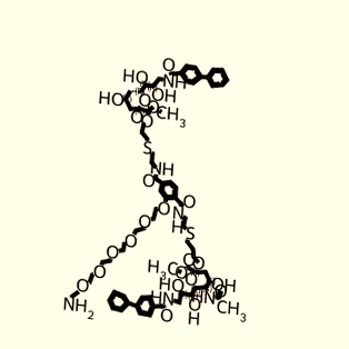 COC(=O)[C@@]1(OCCCSCCNC(=O)c2ccc(C(=O)NCCSCCCO[C@]3(C(=O)OC)C[C@H](O)C[C@H]([C@H](O)[C@H](O)CNC(=O)c4ccc(-c5ccccc5)cc4)O3)cc2OCCOCCOCCOCCOCCOCCN)C[C@H](O)[C@@H](NC(C)=O)[C@H]([C@H](O)[C@H](O)CNC(=O)c2ccc(-c3ccccc3)cc2)O1